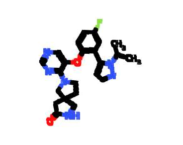 CC(C)n1nccc1-c1cc(F)ccc1Oc1cncnc1N1CCC2(CNC(=O)C2)C1